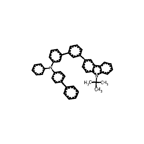 CC(C)(C)n1c2ccccc2c2cc(-c3cccc(-c4cccc(N(c5ccccc5)c5ccc(-c6ccccc6)cc5)c4)c3)ccc21